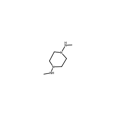 CNN1CCN(NC)CC1